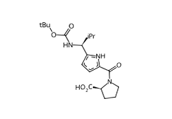 CC(C)[C@H](NC(=O)OC(C)(C)C)c1ccc(C(=O)N2CCC[C@H]2C(=O)O)[nH]1